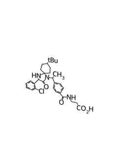 CC(c1ccc(C(=O)NCCC(=O)O)cc1)N1C(=O)C(c2ccccc2Cl)NC12CCC(C(C)(C)C)CC2